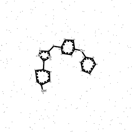 Oc1ccc(-c2nnc(Cc3ccc(Oc4ccccc4)cc3)o2)cc1